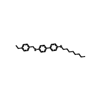 CCCCCCCCSc1ccc(-c2ccc(SCc3ccc(CC)cc3)cc2)cc1